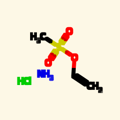 C=COS(C)(=O)=O.Cl.N